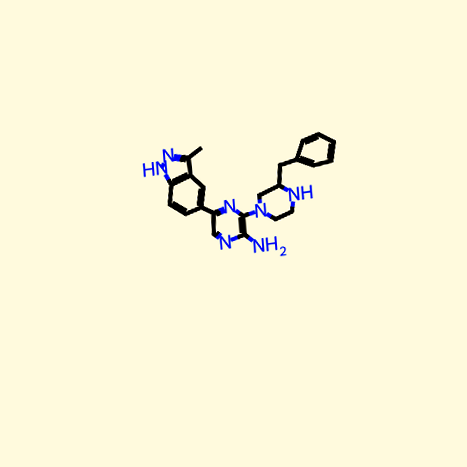 Cc1n[nH]c2ccc(-c3cnc(N)c(N4CCNC(Cc5ccccc5)C4)n3)cc12